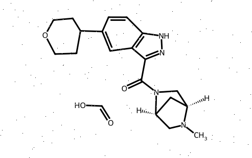 CN1C[C@@H]2C[C@H]1CN2C(=O)c1n[nH]c2ccc(C3CCOCC3)cc12.O=CO